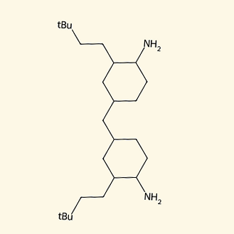 CC(C)(C)CCC1CC(CC2CCC(N)C(CCC(C)(C)C)C2)CCC1N